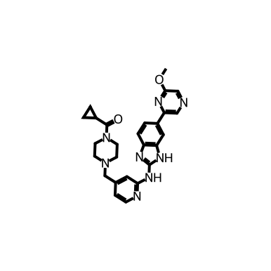 COc1cncc(-c2ccc3nc(Nc4cc(CN5CCN(C(=O)C6CC6)CC5)ccn4)[nH]c3c2)n1